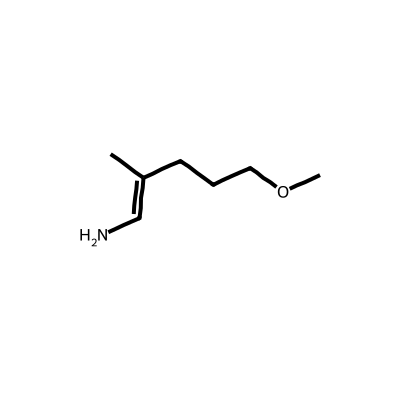 COCCCC(C)=CN